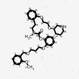 COc1ccccc1COCCCOc1ccc([C@H]2CCNC[C@@H]2OCCOc2ccccc2CCN(C)C(C)=O)cc1